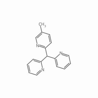 Cc1ccc(C(c2ccccn2)c2ccccn2)nc1